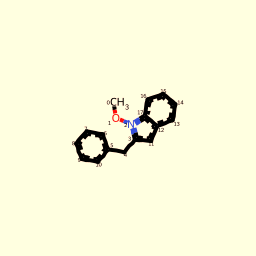 COn1c(Cc2ccccc2)cc2ccccc21